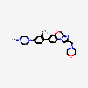 CC(C)N1CCN(c2ccc(-c3ccc4c(c3)OCc3nc(CN5CCOCC5)cn3-4)c(C(F)(F)F)c2)CC1